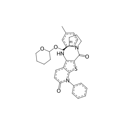 Cc1cccc(Nc2c(C(=O)N3CCC[C@@H]3COC3CCCCO3)sc3c2ccc(=O)n3-c2ccccc2)c1